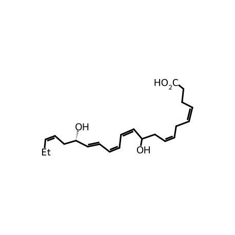 CC/C=C\C[C@H](O)/C=C/C=C\C=C/C(O)C/C=C\C/C=C\CCC(=O)O